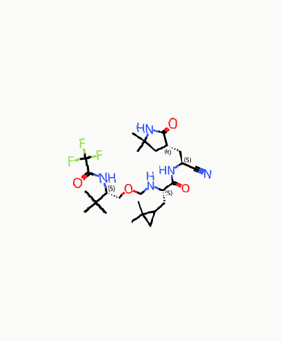 CC1(C)C[C@@H](C[C@@H](C#N)NC(=O)[C@H](CC2CC2(C)C)NCOC[C@@H](NC(=O)C(F)(F)F)C(C)(C)C)C(=O)N1